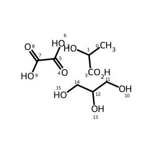 CC(O)C(=O)O.O=C(O)C(=O)O.OCC(O)CO